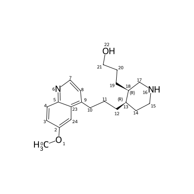 COc1ccc2nccc(CCC[C@@H]3CCNC[C@@H]3CCCO)c2c1